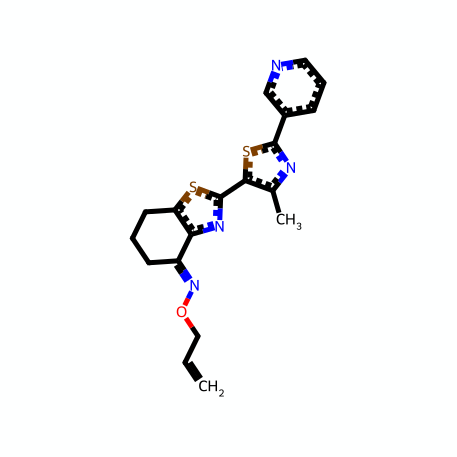 C=CCO/N=C1\CCCc2sc(-c3sc(-c4cccnc4)nc3C)nc21